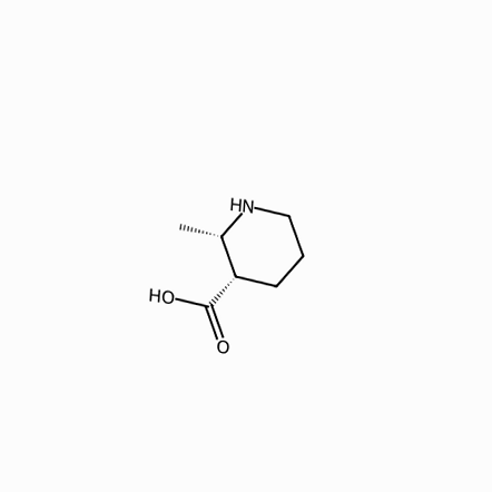 C[C@@H]1NCCC[C@@H]1C(=O)O